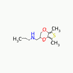 CCCNCC1COc2c(C)sc(C)c2O1